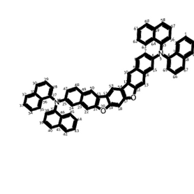 c1ccc2c(N(c3ccc4cc5c(cc4c3)oc3cc4oc6cc7cc(N(c8cccc9ccccc89)c8cccc9ccccc89)ccc7cc6c4cc35)c3cccc4ccccc34)cccc2c1